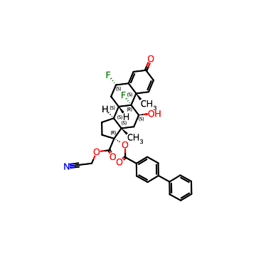 C[C@]12C=CC(=O)C=C1[C@@H](F)C[C@H]1[C@@H]3CC[C@](OC(=O)c4ccc(-c5ccccc5)cc4)(C(=O)OCC#N)[C@@]3(C)C[C@H](O)[C@@]12F